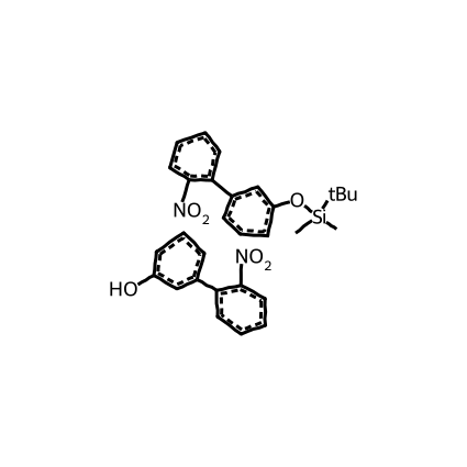 CC(C)(C)[Si](C)(C)Oc1cccc(-c2ccccc2[N+](=O)[O-])c1.O=[N+]([O-])c1ccccc1-c1cccc(O)c1